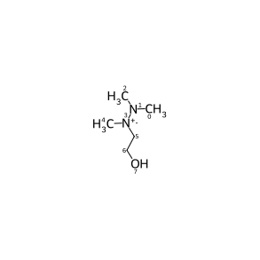 CN(C)[N+](C)CCO